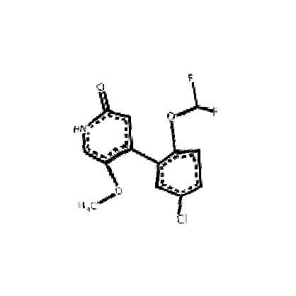 COc1c[nH]c(=O)cc1-c1cc(Cl)ccc1OC(F)F